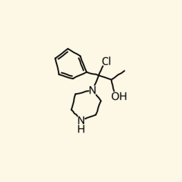 CC(O)C(Cl)(c1ccccc1)N1CCNCC1